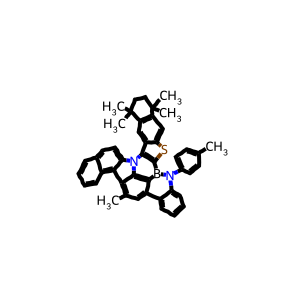 Cc1ccc(N2B3c4sc5cc6c(cc5c4-n4c5ccc7ccccc7c5c5c(C)cc(c3c54)-c3ccccc32)C(C)(C)CCC6(C)C)cc1